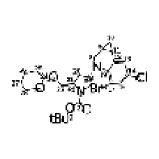 CC(C)(C)OC(=O)N1C[C@@H](N2CC3CC3c3cc(Cl)cc(Br)c32)C[C@@H]1COC1CCCCO1